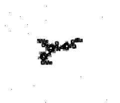 CNC(=O)c1cc(C(=O)NC2C3CN(C(=O)OC(C)(C)C)CC32)cc(Cc2cccc(OC)c2)n1